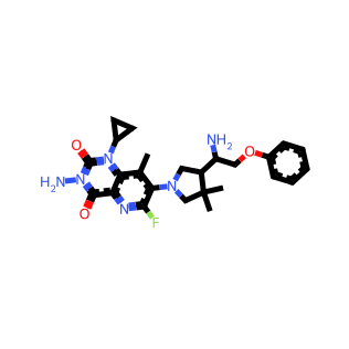 Cc1c(N2CC(C(N)COc3ccccc3)C(C)(C)C2)c(F)nc2c(=O)n(N)c(=O)n(C3CC3)c12